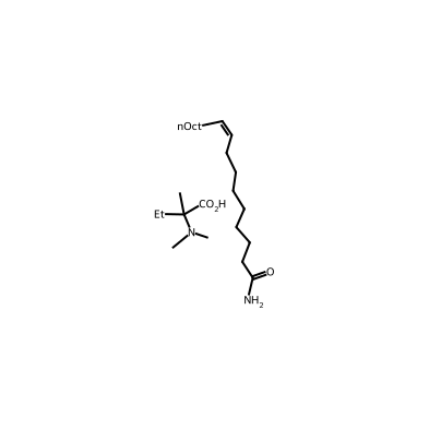 CCC(C)(C(=O)O)N(C)C.CCCCCCCC/C=C\CCCCCCCC(N)=O